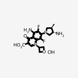 C[C@@H]1CN(c2c(F)c(N)c3c(=O)c(C(=O)O)cn(C4COC4)c3c2F)C[C@H]1N.Cl